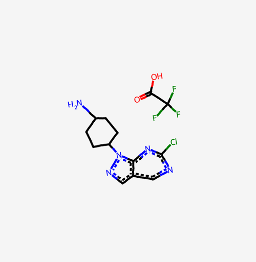 NC1CCC(n2ncc3cnc(Cl)nc32)CC1.O=C(O)C(F)(F)F